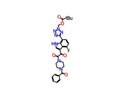 CC(C)(C)C(=O)OCn1nnc(-c2ccc(F)c3c(C(=O)C(=O)N4CCN(C(=O)c5ccccc5)CC4)c[nH]c23)n1